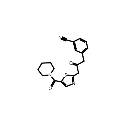 N#Cc1cccc(CC(=O)Cc2ncc(C(=O)N3CCCCC3)s2)c1